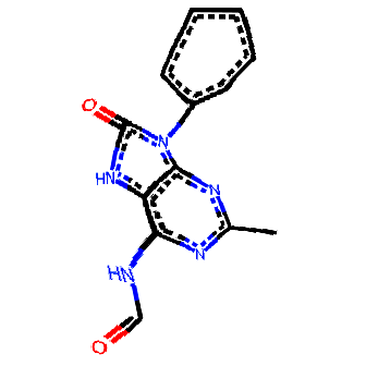 Cc1nc(NC=O)c2[nH]c(=O)n(-c3ccccc3)c2n1